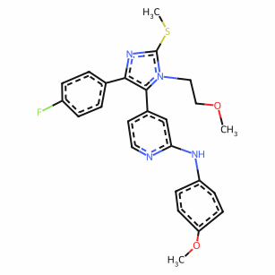 COCCn1c(SC)nc(-c2ccc(F)cc2)c1-c1ccnc(Nc2ccc(OC)cc2)c1